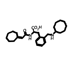 O=C(C=C1CCCCCC1)N[C@H](Cc1ccccc1CNC1CCCCCCC1)C(=O)O